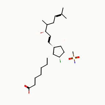 CC(C)=CCC(C)[C@H](O)/C=C/[C@@H]1[C@@H](CCCCCCC(=O)O)[C@H](Cl)C[C@H]1O.CS(N)(=O)=O